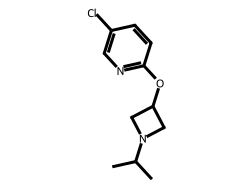 CC(C)N1CC(Oc2ccc(Cl)cn2)C1